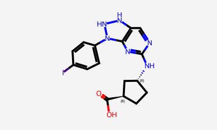 O=C(O)[C@@H]1CC[C@@H](Nc2ncc3c(n2)N(c2ccc(I)cc2)NN3)C1